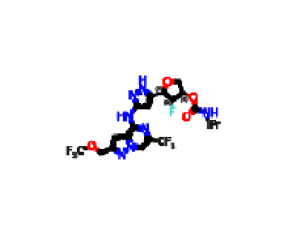 CC(C)NC(=O)O[C@@H]1CO[C@H](c2cc(Nc3nc(C(F)(F)F)cn4nc(COC(F)(F)F)cc34)n[nH]2)[C@H]1F